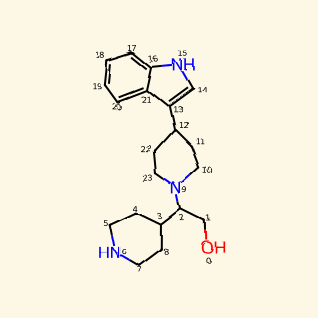 OCC(C1CCNCC1)N1CCC(c2c[nH]c3ccccc23)CC1